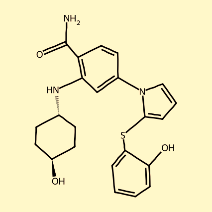 NC(=O)c1ccc(-n2cccc2Sc2ccccc2O)cc1N[C@H]1CC[C@H](O)CC1